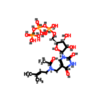 CC(C)=CCN(Cc1cn([C@@H]2O[C@H](COP(=O)(O)OP(=O)(O)OP(=O)(O)O)[C@H](O)C2O)c(=O)[nH]c1=O)C(=O)C(F)(F)F